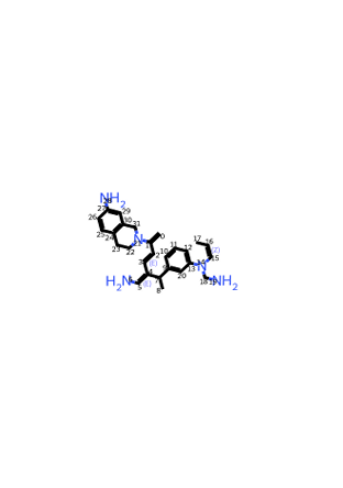 C=C(/C=C/C(=C\N)C(C)c1cccc(N(/C=C\C)CN)c1)N1CCc2ccc(N)cc2C1